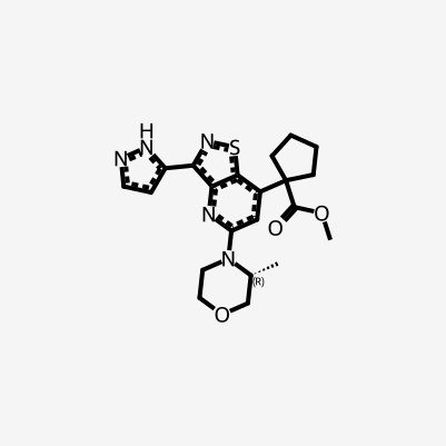 COC(=O)C1(c2cc(N3CCOC[C@H]3C)nc3c(-c4ccn[nH]4)nsc23)CCCC1